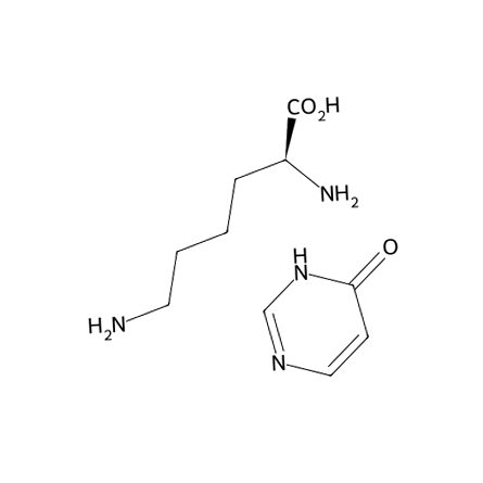 NCCCC[C@H](N)C(=O)O.O=c1ccnc[nH]1